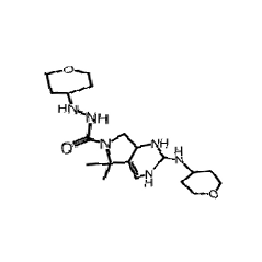 CC1(C)C2=CNC(NC3CCOCC3)NC2CN1C(=O)NNC1CCOCC1